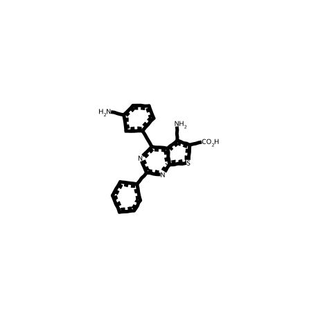 Nc1cccc(-c2nc(-c3ccccc3)nc3sc(C(=O)O)c(N)c23)c1